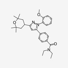 CCN(CC)C(=O)c1ccc(-c2cc(C3CC(C)(C)OC(C)(C)C3)nn2-c2ccccc2OC)cc1